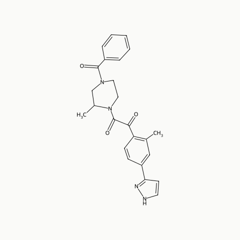 Cc1cc(-c2cc[nH]n2)ccc1C(=O)C(=O)N1CCN(C(=O)c2ccccc2)CC1C